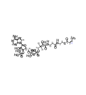 CCC/C=C\C(=O)SCCNC(=O)CCNC(=O)[C@H](O)C(C)(C)COP(=O)(O)OP(=O)(O)OC[C@H]1O[C@@H](n2cnc3c(N)ncnc32)[C@H](O)[C@@H]1OP(=O)(O)O